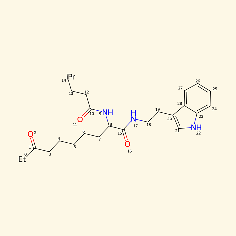 CCC(=O)CCCCCC(NC(=O)CCC(C)C)C(=O)NCCc1c[nH]c2ccccc12